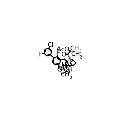 CC(=O)OC(C)(C)C(=O)N1C2CC(C2)[C@H](NS(C)(=O)=O)[C@@H]1Cc1cccc(-c2cc(F)cc(Cl)c2)c1F